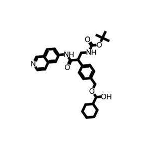 CC(C)(C)OC(=O)NCC(C(=O)Nc1ccc2cnccc2c1)c1ccc(COC(O)C2CCCCC2)cc1